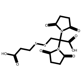 O=C(O)CCSSCC(C(=O)O)(N1C(=O)CCC1=O)N1C(=O)CCC1=O